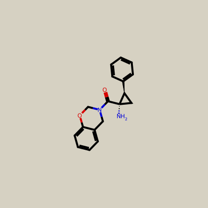 N[C@@]1(C(=O)N2COc3ccccc3C2)C[C@@H]1c1ccccc1